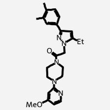 CCc1cc(-c2ccc(C)c(C)c2)nn1CC(=O)N1CCN(c2cc(OC)ccn2)CC1